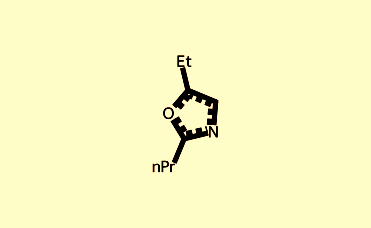 CCCc1ncc(CC)o1